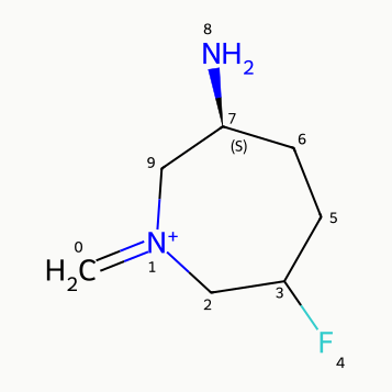 C=[N+]1CC(F)CC[C@H](N)C1